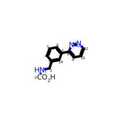 O=C(O)NCc1cccc(-c2cccnn2)c1